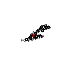 COc1cc(CN2CCC3(CN(C4CCN(c5ccc(C(=O)NS(=O)(=O)c6ccc(NC[C@H]7CC[C@](C)(O)CC7)c([N+](=O)[O-])c6)c(N6c7cc8cc[nH]c8nc7O[C@H]7COCC[C@@H]76)c5)CC4)C3)[C@H](c3ccccc3C(C)C)C2)cnc1N1CCOCC1